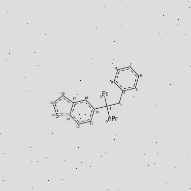 CCCC(CC)(Cc1ccccc1)c1ccc2sccc2c1